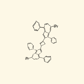 CC(C)c1ccc(-c2ccccc2)c2cc(C3=CC(c4cc5c(-c6ccccc6)ccc(C(C)C)cc-5c4-c4ccccc4)C3)c(-c3ccccc3)c-2c1